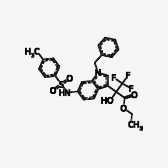 CCOC(=O)C(O)(c1cn(Cc2ccccc2)c2cc(NS(=O)(=O)c3ccc(C)cc3)ccc12)C(F)(F)F